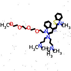 COCCOCCOCCOCCN1C(N(CCCN(C)C)CCCN(C)C)=C/C(=C/c2sc3ccccc3[n+]2C)c2ccccc21